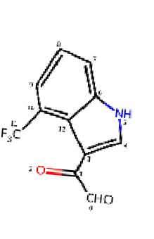 O=CC(=O)c1c[nH]c2cccc(C(F)(F)F)c12